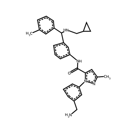 Cc1cccc(C(NCC2CC2)c2cccc(NC(=O)c3cc(C)nn3-c3cccc(CN)c3)c2)c1